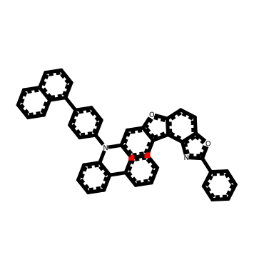 c1ccc(-c2nc3c(ccc4oc5cc(N(c6ccc(-c7cccc8ccccc78)cc6)c6ccccc6-c6ccccc6)ccc5c43)o2)cc1